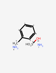 Cc1ccccc1.N.N.O=S(=O)(O)O